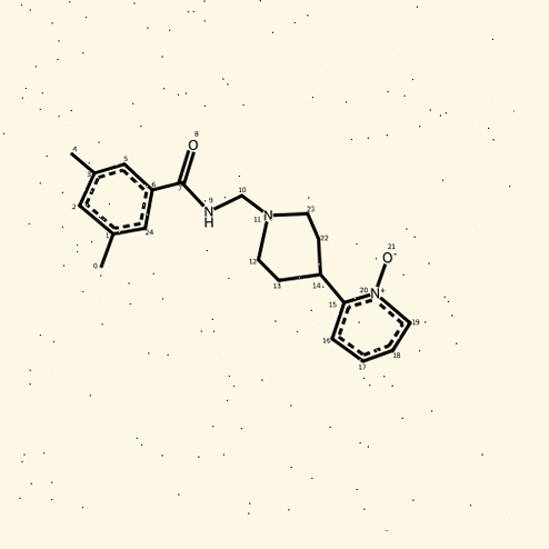 Cc1cc(C)cc(C(=O)NCN2CCC(c3cccc[n+]3[O-])CC2)c1